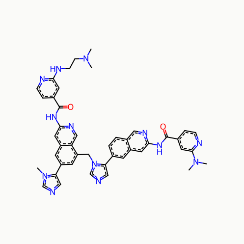 CN(C)CCNc1cc(C(=O)Nc2cc3cc(-c4cncn4C)cc(Cn4cncc4-c4ccc5cnc(NC(=O)c6ccnc(N(C)C)c6)cc5c4)c3cn2)ccn1